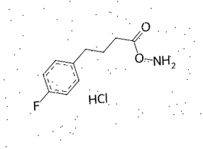 Cl.NOC(=O)CCCc1ccc(F)cc1